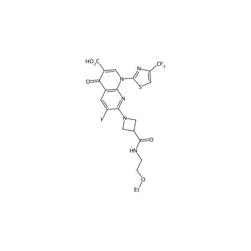 CCOCCNC(=O)C1CN(c2nc3c(cc2F)c(=O)c(C(=O)O)cn3-c2nc(C(F)(F)F)cs2)C1